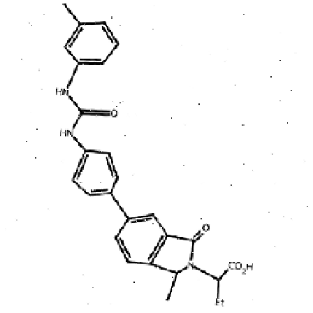 CCC(C(=O)O)N1C(=O)c2cc(-c3ccc(NC(=O)Nc4cccc(C)c4)cc3)ccc2C1C